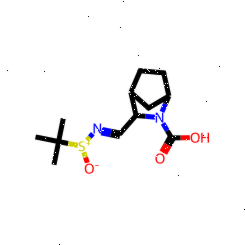 CC(C)(C)[S+]([O-])N=CC1C2CCC(C2)N1C(=O)O